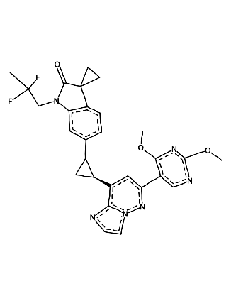 COc1ncc(-c2cc([C@H]3CC3c3ccc4c(c3)N(CC(C)(F)F)C(=O)C43CC3)c3nccn3n2)c(OC)n1